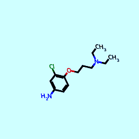 CCN(CC)CCCOc1ccc(N)cc1Cl